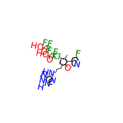 COc1c(CCCNc2ncnc3[nH]cnc23)cc(Cl)c(C)c1-c1cncc(F)c1.O=C(O)C(F)(F)F.O=C(O)C(F)(F)F